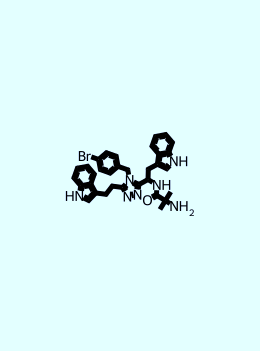 CC(C)(N)C(=O)NC(Cc1c[nH]c2ccccc12)c1nnc(CCc2c[nH]c3ccccc23)n1Cc1ccc(Br)cc1